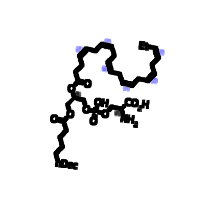 CC/C=C\C/C=C\C/C=C\C/C=C\C/C=C\C/C=C\CCC(=O)O[C@H](COC(=O)CCCCCCCCCCCCCC)COP(=O)(O)OC[C@H](N)C(=O)O